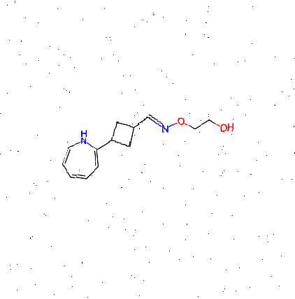 OCCON=CC1CC(C2=CC=CC=CN2)C1